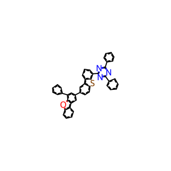 c1ccc(-c2nc(-c3ccccc3)nc(-c3cccc4c3sc3ccc(-c5cc(-c6ccccc6)c6oc7ccccc7c6c5)cc34)n2)cc1